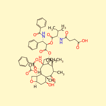 CC(=O)O[C@@]12CO[C@@H]1C[C@H](O)[C@@]1(C)C(=O)C(C)C3=C(C)[C@@H](OC(=O)[C@H](OC(=O)[C@@H](NC(=O)CCC(=O)O)C(C)C)[C@@H](NC(=O)c4ccccc4)c4ccccc4)C[C@@](O)([C@@H](OC(=O)c4ccccc4)[C@H]21)C3(C)C